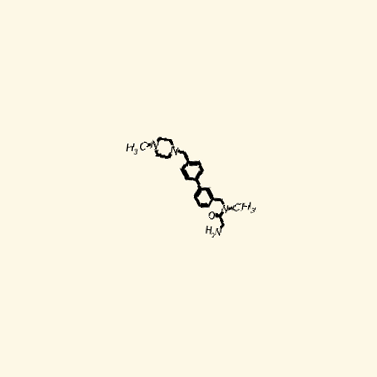 CN1CCN(Cc2ccc(-c3cccc(CN(C)C(=O)CN)c3)cc2)CC1